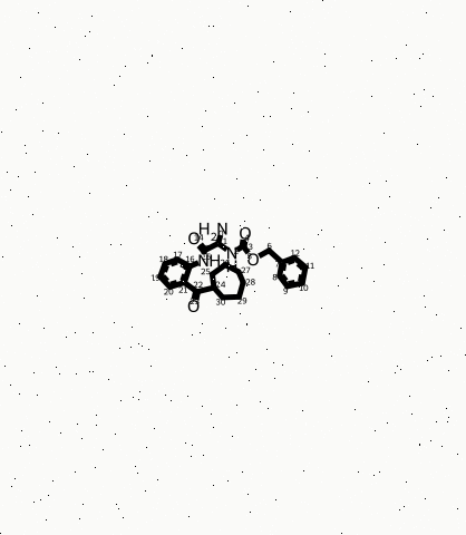 NC(NC(=O)OCc1ccccc1)C(=O)Nc1ccccc1C(=O)C1CCCCCC1